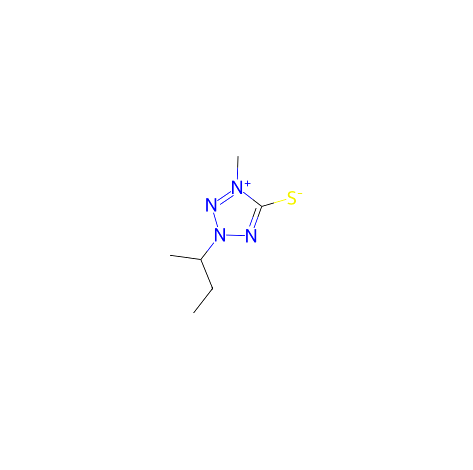 CCC(C)n1nc([S-])[n+](C)n1